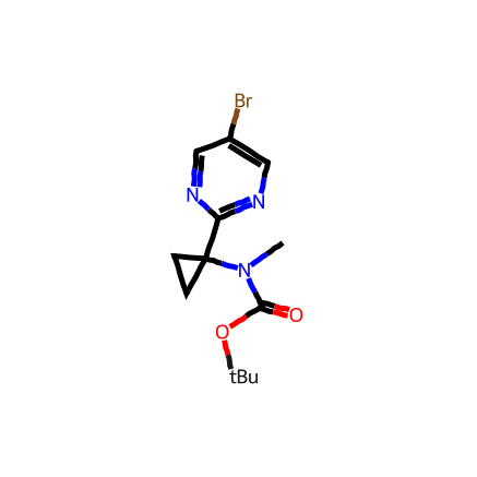 CN(C(=O)OC(C)(C)C)C1(c2ncc(Br)cn2)CC1